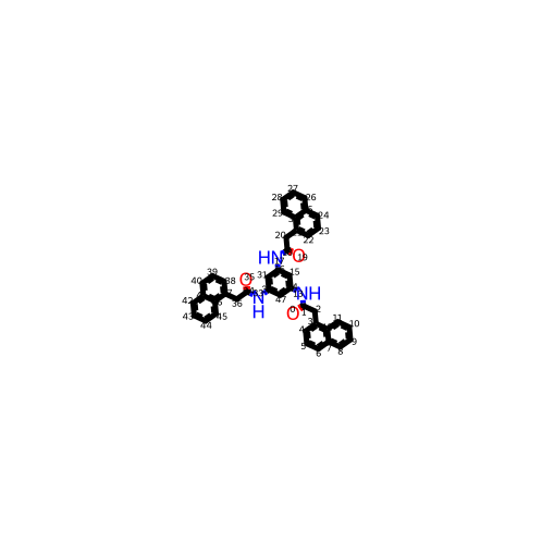 O=C(Cc1cccc2ccccc12)Nc1cc(NC(=O)Cc2cccc3ccccc23)cc(NC(=O)Cc2cccc3ccccc23)c1